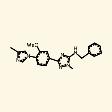 COc1cc(-c2nc(NCc3ccccc3)n(C)n2)ccc1-n1cnc(C)c1